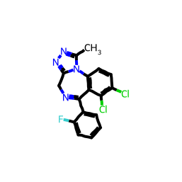 Cc1nnc2n1-c1ccc(Cl)c(Cl)c1C(c1ccccc1F)=NC2